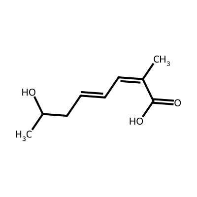 CC(=CC=CCC(C)O)C(=O)O